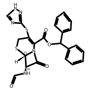 O=CN[C@@H]1C(=O)N2C(C(=O)OC(c3ccccc3)c3ccccc3)=C(Sc3nc[nH]n3)CS[C@@H]12